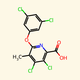 Cc1c(Oc2cc(Cl)cc(Cl)c2)nc(C(=O)O)c(Cl)c1Cl